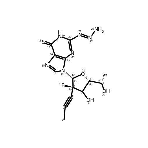 CC#C[C@@]1(F)C(O)[C@@H]([C@H](C)O)O[C@H]1n1cnc2c(=S)[nH]c(N=NN)nc21